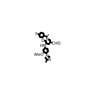 COc1cc(Nc2cc(C=O)cn([C@H](C)c3ccc(F)cc3)c2=O)ccc1-n1cnc(C)c1